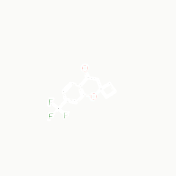 O=C1CC2(CCC2)Oc2cc(C(F)(F)F)ccc21